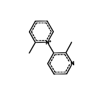 Cc1ncccc1-[n+]1ccccc1C